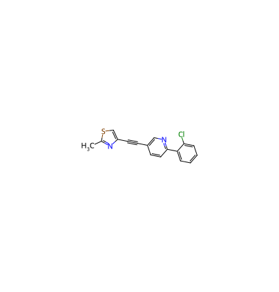 Cc1nc(C#Cc2ccc(-c3ccccc3Cl)nc2)cs1